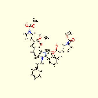 CC(C)(C)OC(=O)[C@@H](Cc1cccc(-c2nc3cc(C[C@H](C(=O)OC(C)(C)C)[C@H]4CCN(C(=O)OC(C)(C)C)C4)ccc3n2CCc2ccccc2)c1)[C@H]1CCN(C(=O)OC(C)(C)C)C1